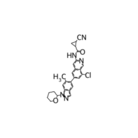 Cc1cc2c(cnn2C2CCCCO2)cc1-c1cc(Cl)c2cnc(NC(=O)C3C[C@H]3C#N)cc2c1